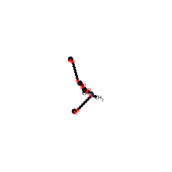 C=C/C=C(\C=C/CC(=O)Oc1ccc(OC(=O)c2ccc(OCCCCCCCCCCCCOC3CCCCO3)cc2)cc1C)OCCCCCCCCCCCCOC1CCCCO1